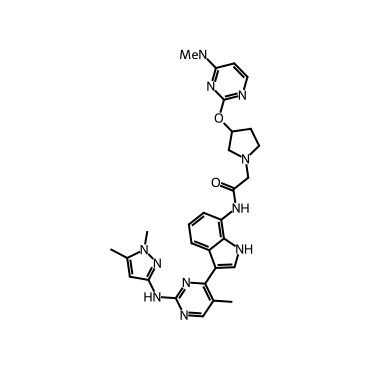 CNc1ccnc(OC2CCN(CC(=O)Nc3cccc4c(-c5nc(Nc6cc(C)n(C)n6)ncc5C)c[nH]c34)C2)n1